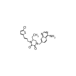 CCC1CN(Cc2ccc3c(N)ncnc3c2)C(=O)C(=O)N1CC=Cc1ccc(Cl)s1